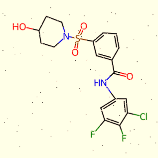 O=C(Nc1cc(F)c(F)c(Cl)c1)c1cccc(S(=O)(=O)N2CCC(O)CC2)c1